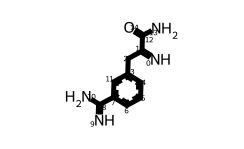 N=C(Cc1cccc(C(=N)N)c1)C(N)=O